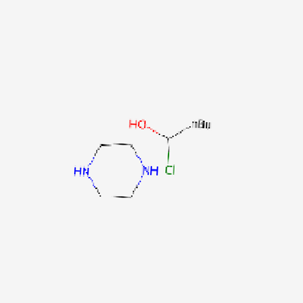 C1CNCCN1.CCCCC(O)Cl